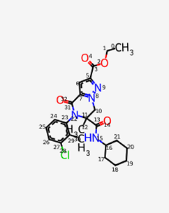 CCOC(=O)c1cc2n(n1)CC(C)(C(=O)NC1CCCCC1)N(c1cccc(Cl)c1C)C2=O